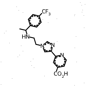 CC(NCCn1cnc(-c2cc(C(=O)O)ccn2)c1)c1ccc(C(F)(F)F)cc1